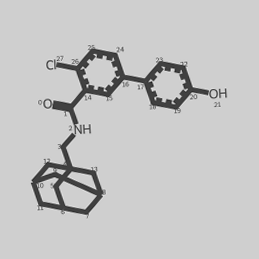 O=C(NCC12CC3CC(CC(C3)C1)C2)c1cc(-c2ccc(O)cc2)ccc1Cl